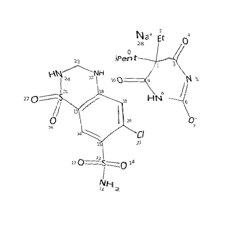 CCCC(C)C1(CC)C(=O)N=C([O-])NC1=O.NS(=O)(=O)c1cc2c(cc1Cl)NCNS2(=O)=O.[Na+]